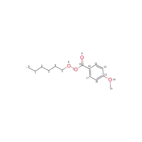 [CH2]CCCCCOOC(=O)c1ccc(OC)cc1